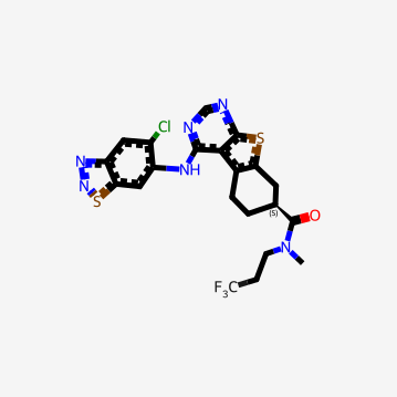 CN(CCC(F)(F)F)C(=O)[C@H]1CCc2c(sc3ncnc(Nc4cc5snnc5cc4Cl)c23)C1